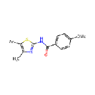 COc1ccc(C(=O)Nc2nc(C)c(C(C)=O)s2)cc1